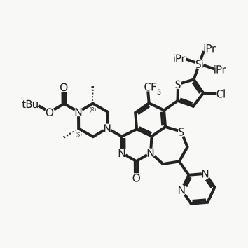 CC(C)[Si](c1sc(-c2c(C(F)(F)F)cc3c(N4C[C@@H](C)N(C(=O)OC(C)(C)C)[C@@H](C)C4)nc(=O)n4c3c2SCC(c2ncccn2)C4)cc1Cl)(C(C)C)C(C)C